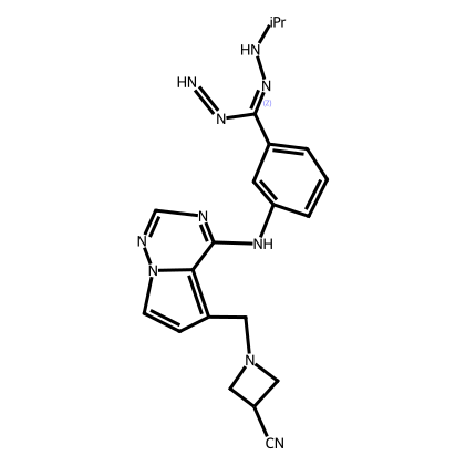 CC(C)N/N=C(\N=N)c1cccc(Nc2ncnn3ccc(CN4CC(C#N)C4)c23)c1